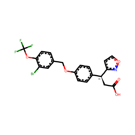 O=C(O)C[C@@H](c1ccc(OCc2ccc(OC(F)(F)F)c(Br)c2)cc1)c1ccon1